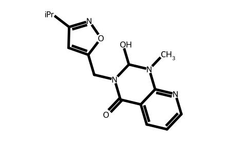 CC(C)c1cc(CN2C(=O)c3cccnc3N(C)C2O)on1